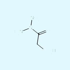 NN(C(=O)CC(=O)O)[N+](=O)[O-]